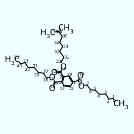 CCCCCCCCOC(=O)c1ccc(C(=O)OCCCCCCCC)c(C(=O)OCCCCCCC(C)C)c1